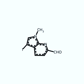 Cn1cc(I)c2ccc(C=O)nc21